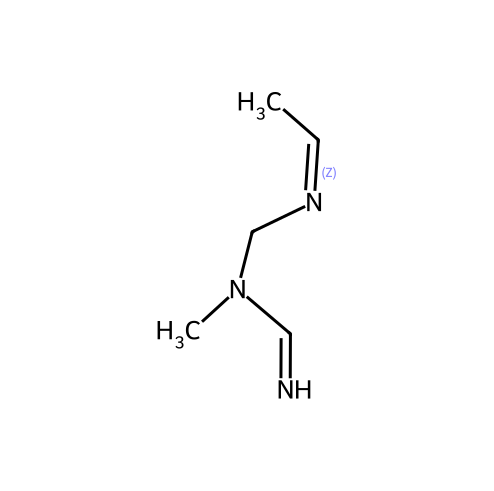 C/C=N\CN(C)C=N